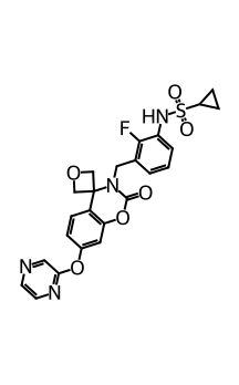 O=C1Oc2cc(Oc3cnccn3)ccc2C2(COC2)N1Cc1cccc(NS(=O)(=O)C2CC2)c1F